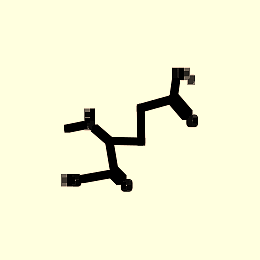 BC(=O)CCC(NC)C(=O)O